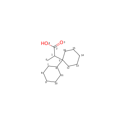 CC(C(=O)O)C1(C2CCCCC2)CCCCC1